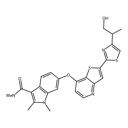 CNC(=O)c1c(C)n(C)c2cc(Oc3ccnc4cc(-c5nc(C(C)CO)cs5)sc34)ccc12